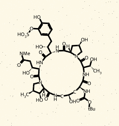 CNC(=O)C[C@@H](O)[C@@H]1NC(=O)[C@H]([C@H](O)Cc2ccc(O)c(OS(=O)(=O)O)c2)NC(=O)[C@@H]2C[C@@H](O)CN2C(=O)C([C@@H](C)O)NC(=O)[C@@H](NC(=O)OC(C)(C)C)C[C@@H](O)CNC(=O)[C@@H]2[C@@H](O)[C@@H](C)CN2C1=O